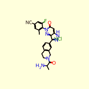 Cc1cc(C#N)cc(F)c1-n1nc2c(-c3ccc4c(c3)CN(C(=O)C(C)N)CC4)n[nH]c2cc1=O.Cl